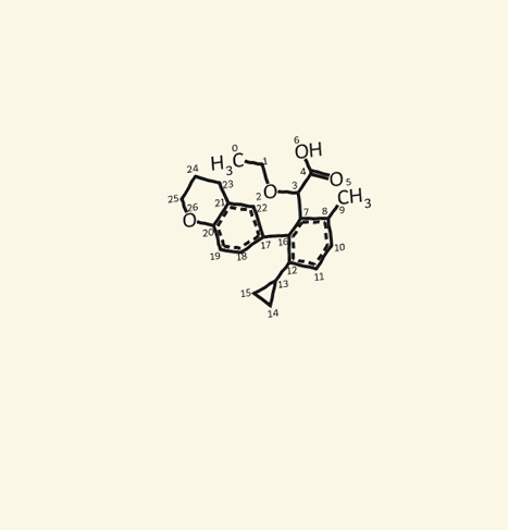 CCOC(C(=O)O)c1c(C)ccc(C2CC2)c1-c1ccc2c(c1)CCCO2